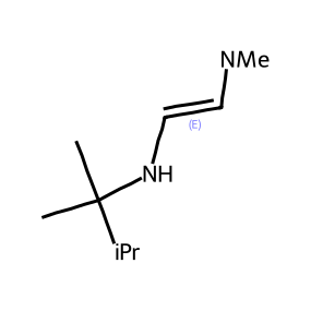 CN/C=C/NC(C)(C)C(C)C